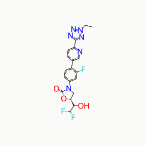 CCn1nnc(-c2ccc(-c3ccc(N4C[C@@H](C(O)C(F)F)OC4=O)cc3F)cn2)n1